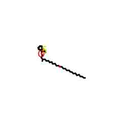 CCCCCCCCCCCCCCCCCCCCCCCCCC(C)CCOc1c(C)sc2ccccc12